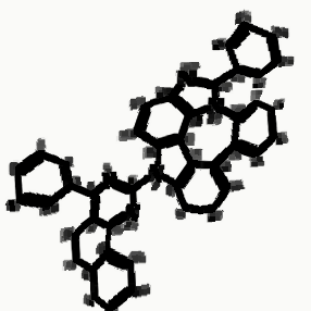 c1ccc(-c2nc(-n3c4cccc5c6ccccc6n6c(-c7ccccc7)nc7ccc3c(c54)c76)nc3c2ccc2ccccc23)cc1